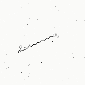 CCCCCCCCCCCCCCOCC(=O)Cl